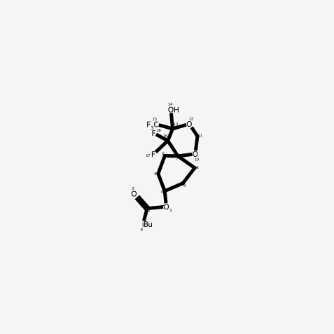 CCC(C)C(=O)OC1CCC2(CC1)OCOC(O)(C(F)(F)F)C2(F)F